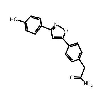 NC(=O)Cc1ccc(-c2cc(-c3ccc(O)cc3)no2)cc1